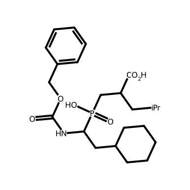 CC(C)CC(CP(=O)(O)C(CC1CCCCC1)NC(=O)OCc1ccccc1)C(=O)O